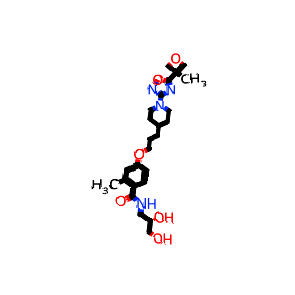 Cc1cc(OCCCC2CCN(c3noc(C4(C)COC4)n3)CC2)ccc1C(=O)NC[C@H](O)CO